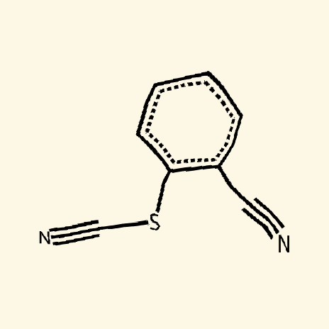 N#CSc1ccccc1C#N